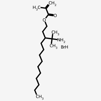 Br.C=C(C)C(=O)OCCC(CCCCCCCCCC)C(C)(C)N